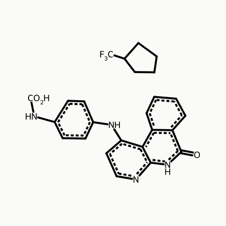 FC(F)(F)C1CCCC1.O=C(O)Nc1ccc(Nc2ccnc3[nH]c(=O)c4ccccc4c23)cc1